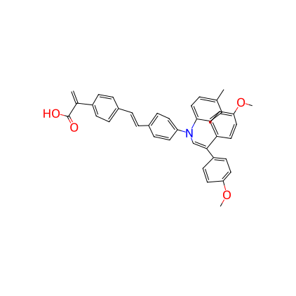 C=C(C(=O)O)c1ccc(C=Cc2ccc(N(C=C(c3ccc(OC)cc3)c3ccc(OC)cc3)c3ccc(C)cc3)cc2)cc1